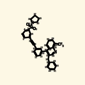 O=S(=O)(c1cccc(C#Cc2cccc(-c3c(Cc4ccccc4)cnc4c(C(F)(F)F)cccc34)c2)c1)N1CCCC1